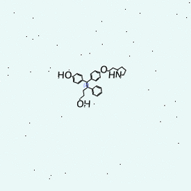 OCCC/C(=C(\c1ccc(O)cc1)c1ccc(OCCC2CCCN2)cc1)c1ccccc1